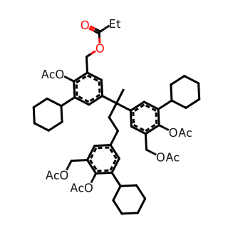 CCC(=O)OCc1cc(C(C)(CCc2cc(COC(C)=O)c(OC(C)=O)c(C3CCCCC3)c2)c2cc(COC(C)=O)c(OC(C)=O)c(C3CCCCC3)c2)cc(C2CCCCC2)c1OC(C)=O